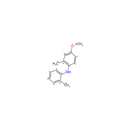 COc1ccc(Nc2ccccc2C)c(C)c1